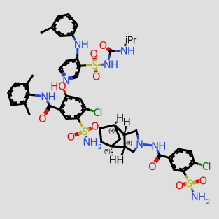 Cc1cccc(C)c1NC(=O)c1cc(S(N)(=O)=O)c(Cl)cc1O.Cc1cccc(Nc2ccncc2S(=O)(=O)NC(=O)NC(C)C)c1.NS(=O)(=O)c1cc(C(=O)NN2C[C@@H]3[C@H]4CC[C@H](C4)[C@@H]3C2)ccc1Cl